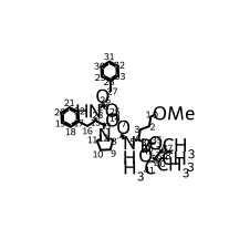 COCCCC(NC(=O)[C@@H]1CCCN1C(=O)C(Cc1ccccc1)NC(=O)OCc1ccccc1)B1OC(C)(C)C(C)(C)O1